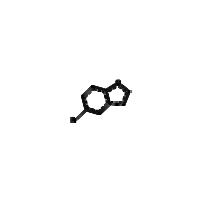 Brc1ccc2o[c]cc2c1